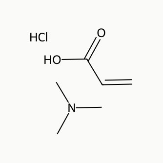 C=CC(=O)O.CN(C)C.Cl